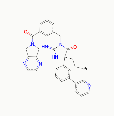 CC(C)CCC1(c2cccc(-c3cccnc3)c2)NC(=N)N(Cc2cccc(C(=O)N3Cc4nccnc4C3)c2)C1=O